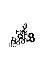 Cc1ccc(NC(=O)C2CN(C)C2)cc1C(=O)N[C@H](C)c1cccc2ccccc12.O=C(O)C(F)(F)F